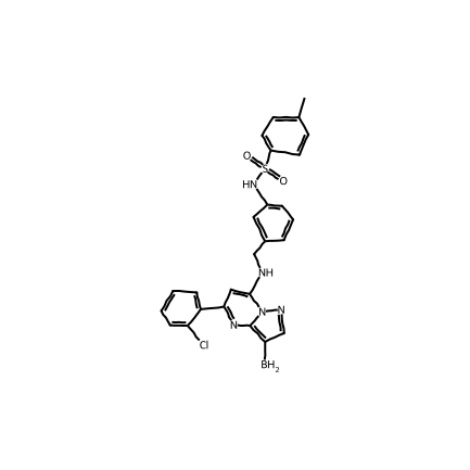 Bc1cnn2c(NCc3cccc(NS(=O)(=O)c4ccc(C)cc4)c3)cc(-c3ccccc3Cl)nc12